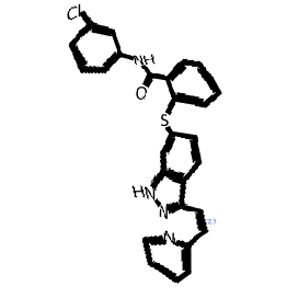 O=C(Nc1cccc(Cl)c1)c1ccccc1Sc1ccc2c(/C=C\c3ccccn3)n[nH]c2c1